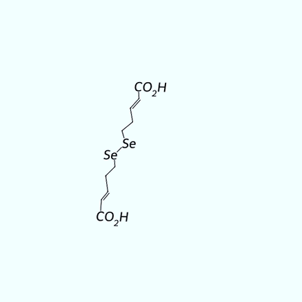 O=C(O)C=CCC[Se][Se]CCC=CC(=O)O